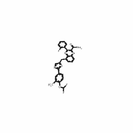 Cc1cc(-c2ncc(Cc3cccc4nc(C(N)=O)c(-c5ccccc5F)nc34)s2)ccc1OC(F)F